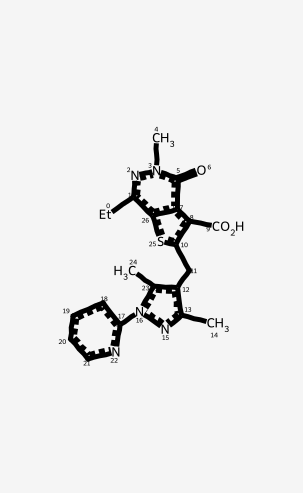 CCc1nn(C)c(=O)c2c(C(=O)O)c(Cc3c(C)nn(-c4ccccn4)c3C)sc12